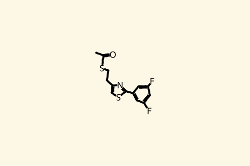 CC(=O)SCCc1csc(-c2cc(F)cc(F)c2)n1